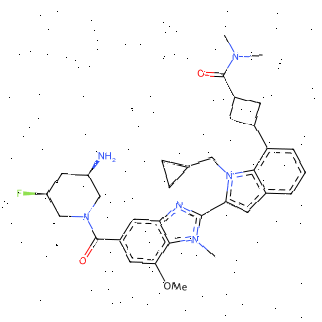 COc1cc(C(=O)N2C[C@H](N)C[C@H](F)C2)cc2nc(-c3cc4cccc(C5CC(C(=O)N(C)C)C5)c4n3CC3CC3)n(C)c12